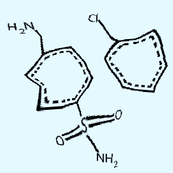 Clc1ccccc1.Nc1ccc(S(N)(=O)=O)cc1